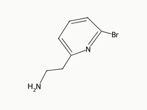 NCCc1cccc(Br)n1